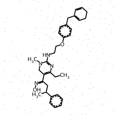 CCC1=C(/C(CC(C)c2ccccc2)=N/O)CN(C)C(NCCOc2ccc(CC3=CCCC=C3)cc2)=N1